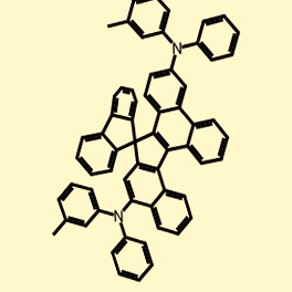 Cc1cccc(N(c2ccccc2)c2ccc3c4c(c5ccccc5c3c2)-c2c(cc(N(c3ccccc3)c3cccc(C)c3)c3ccccc23)C42c3ccccc3-c3ccccc32)c1